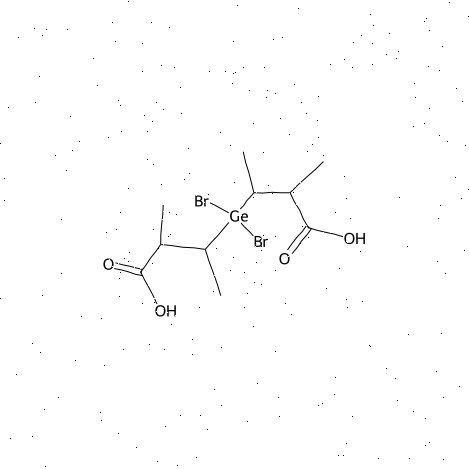 CC(C(=O)O)[CH](C)[Ge]([Br])([Br])[CH](C)C(C)C(=O)O